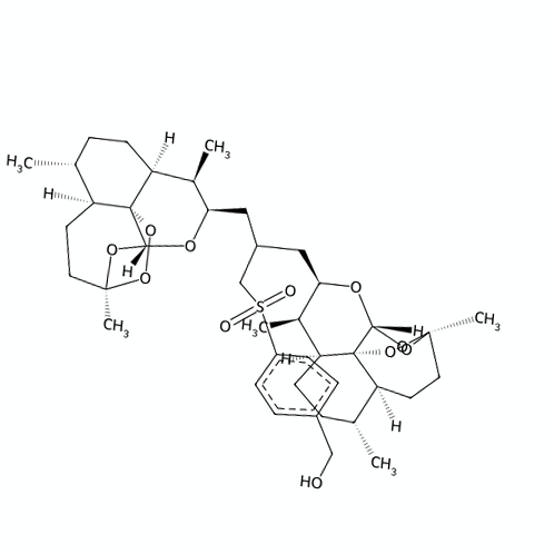 C[C@H]1[C@@H](CC(C[C@H]2O[C@@H]3O[C@]4(C)CC[C@H]5[C@H](C)CC[C@@H]([C@H]2C)[C@@]35OO4)CS(=O)(=O)c2ccc(CO)cc2)O[C@@H]2O[C@]3(C)CC[C@H]4[C@H](C)CC[C@@H]1[C@@]24OO3